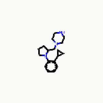 c1ccc(N2CCCC2CN2CCNCC2)c(C2CC2)c1